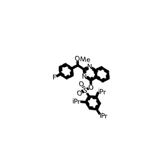 COC(c1ccc(F)cc1)c1nc(OS(=O)(=O)c2c(C(C)C)cc(C(C)C)cc2C(C)C)c2ccccc2n1